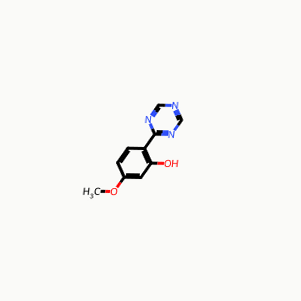 COc1ccc(-c2ncncn2)c(O)c1